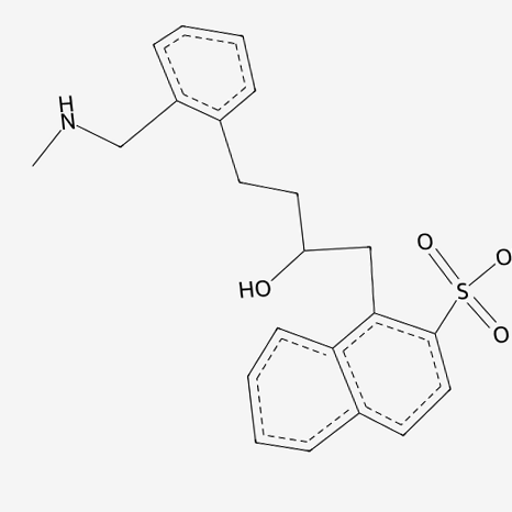 CNCc1ccccc1CCC(O)Cc1c(S(=O)(=O)O)ccc2ccccc12